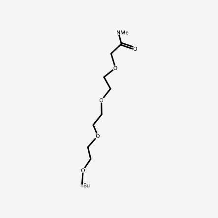 CCCCOCCOCCOCCOCC(=O)NC